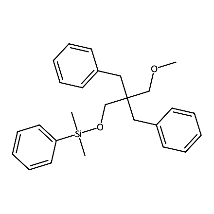 COCC(CO[Si](C)(C)c1ccccc1)(Cc1ccccc1)Cc1ccccc1